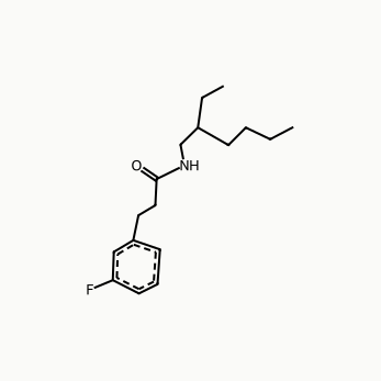 CCCCC(CC)CNC(=O)CCc1cccc(F)c1